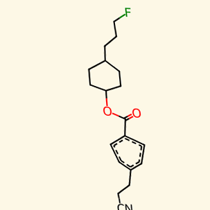 N#CCCc1ccc(C(=O)OC2CCC(CCCF)CC2)cc1